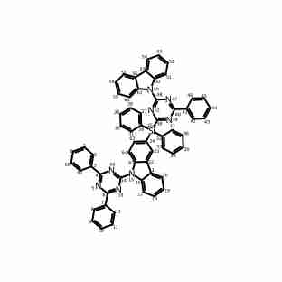 c1ccc(-c2nc(-c3ccccc3)nc(-n3c4ccccc4c4cc([Si](c5ccccc5)(c5ccccc5)c5nc(-c6ccccc6)nc(-n6c7ccccc7c7ccccc76)n5)ccc43)n2)cc1